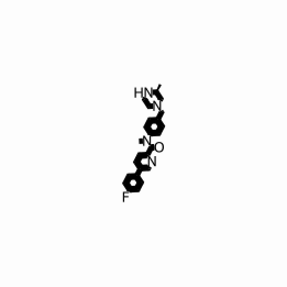 C[C@H]1CN(Cc2ccc(N(C)C(=O)c3ccc(-c4ccc(F)cc4)cn3)cc2)CCN1